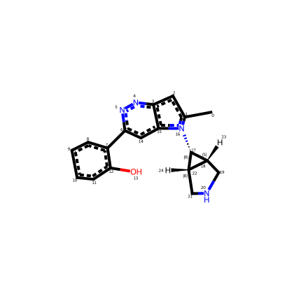 Cc1cc2nnc(-c3ccccc3O)cc2n1[C@@H]1[C@@H]2CNC[C@@H]21